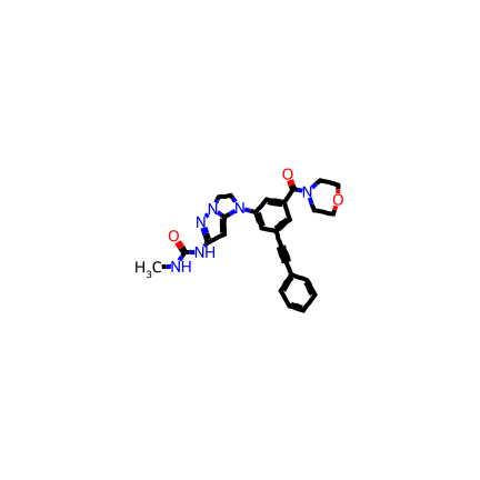 CNC(=O)Nc1cc2n(n1)CCN2c1cc(C#Cc2ccccc2)cc(C(=O)N2CCOCC2)c1